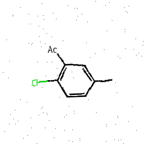 CC(=O)c1cc(C)ccc1Cl